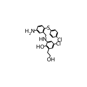 Nc1ccc(Sc2ccc(Cl)cc2)c(CNc2cc(Cl)cc(CCO)c2O)c1